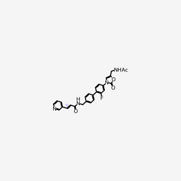 CC(=O)NCc1cn(-c2ccc(-c3ccc(CNC(=O)/C=C/c4cccnc4)cc3)c(F)c2)c(=O)o1